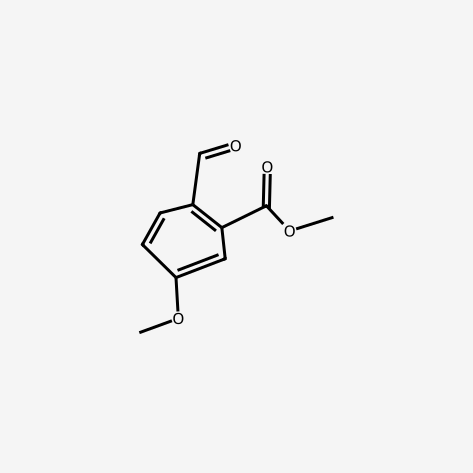 COC(=O)c1cc(OC)ccc1C=O